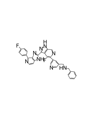 Fc1ccc(-c2nccc3[nH]c(-c4n[nH]c5cnc(-c6cncc(CNCc7ccccc7)c6)c(F)c45)nc23)cc1